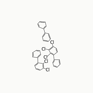 Clc1ccc(-c2ccccc2)c(Cl)c1Cl.Clc1cccc(-c2ccccc2)c1Cl.c1ccc(-c2ccccc2)cc1